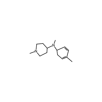 CC1=CCC(N(C)C2CCN(C)CC2)C=C1